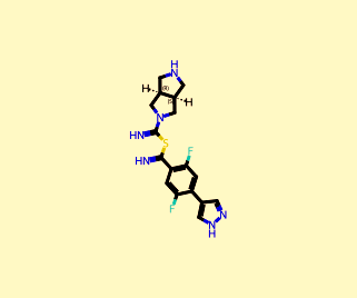 N=C(SC(=N)N1C[C@H]2CNC[C@H]2C1)c1cc(F)c(-c2cn[nH]c2)cc1F